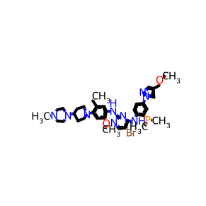 CCc1cc(Nc2ncc(Br)c(Nc3ccc(-n4cc(COC)cn4)cc3P(C)C)n2)c(OC)cc1N1CCC(N2CCN(C)CC2)CC1